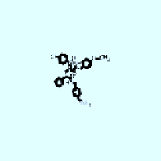 CCOc1ccc(C[C@@H](NS(=O)(=O)c2ccc(Cl)cc2)C(=O)NC[C@H](C(=O)NCc2ccc(CN)cc2)c2ccccc2)cc1